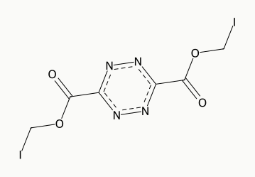 O=C(OCI)c1nnc(C(=O)OCI)nn1